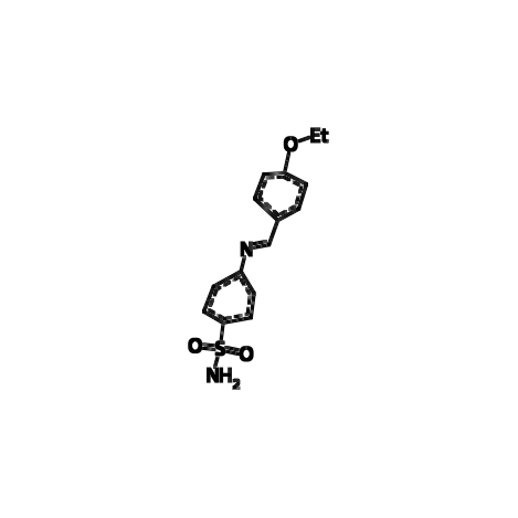 CCOc1ccc(C=Nc2ccc(S(N)(=O)=O)cc2)cc1